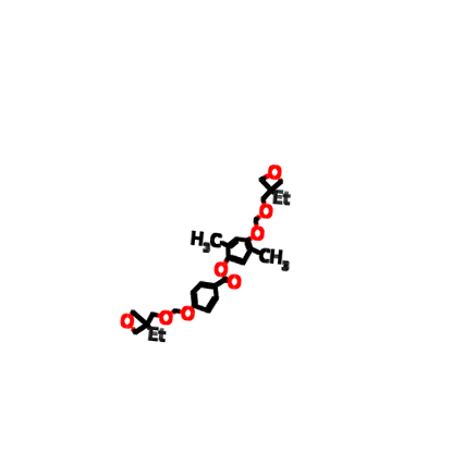 CCC1(COCOc2ccc(C(=O)Oc3cc(C)c(OCOCC4(CC)COC4)cc3C)cc2)COC1